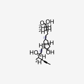 [2H]C([2H])(C#CC)C(C)[C@H](O)/C=C/[C@@H]1[C@H]2C/C(=C/CC([2H])([2H])C([2H])([2H])C(=O)O)C[C@H]2C[C@H]1O